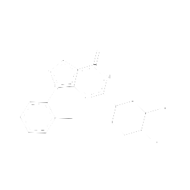 Cc1ccccc1-n1ncc2c(=O)[nH]c(C3CCC(O)C(O)C3)nc21